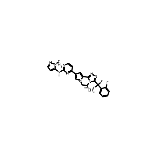 C[C@H]1Cn2cc(-c3ccnc(Nc4ccnn4C)n3)cc2-c2nnc(C(F)(F)c3ccccc3F)n21